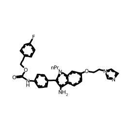 CCCn1c(-c2ccc(NC(=O)OCc3ccc(F)cc3)cc2)c(N)c2ccc(OCCn3ccnc3)cc21